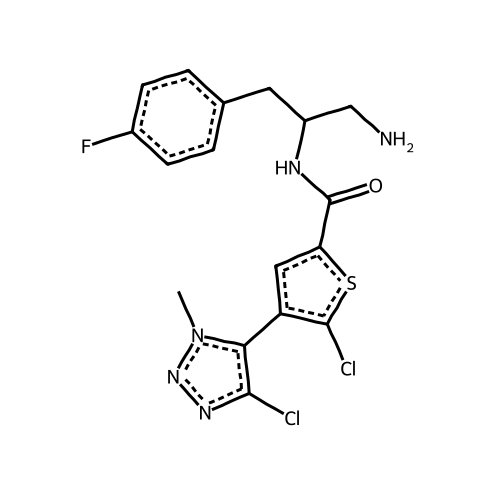 Cn1nnc(Cl)c1-c1cc(C(=O)NC(CN)Cc2ccc(F)cc2)sc1Cl